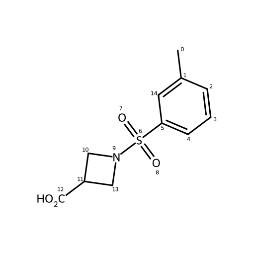 Cc1cccc(S(=O)(=O)N2CC(C(=O)O)C2)c1